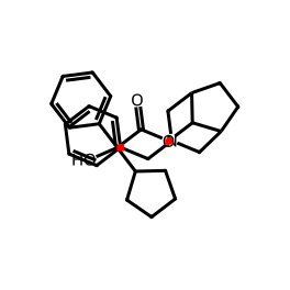 O=C(OC1C2CCC1CN(Cc1ccccc1)C2)C(O)(c1ccccc1)C1CCCC1